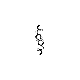 C=CC(=O)OC1CO[B-]2(OC1)OCC(OC(O)C=C)CO2